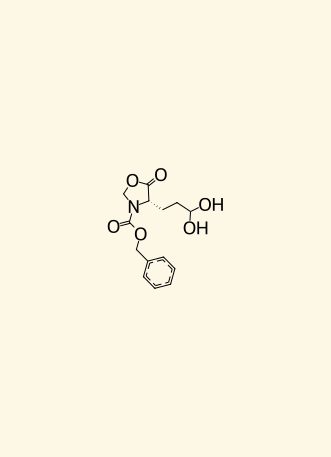 O=C1OCN(C(=O)OCc2ccccc2)[C@H]1CCC(O)O